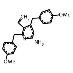 C=Cc1c(Cc2ccc(OC)cc2)ccnc1Cc1ccc(OC)cc1.N